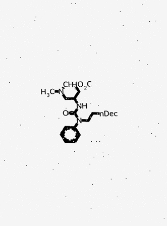 CCCCCCCCCCCCN(C(=O)NC(CC(=O)O)CN(C)C)c1ccccc1